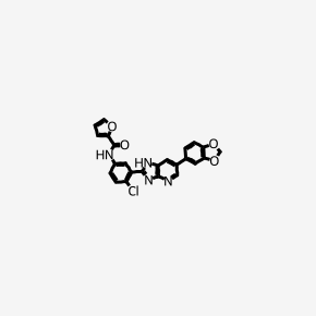 O=C(Nc1ccc(Cl)c(-c2nc3ncc(-c4ccc5c(c4)OCO5)cc3[nH]2)c1)c1ccco1